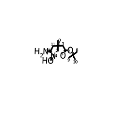 CC(C)(CC(=O)OC(C)(C)C)CC(N)=NO